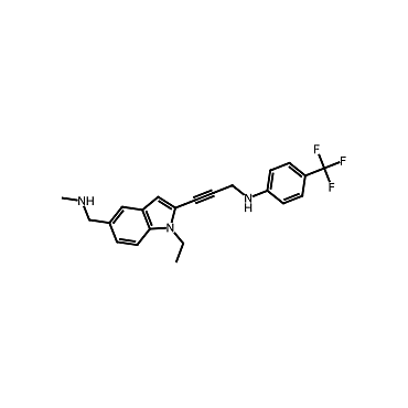 CCn1c(C#CCNc2ccc(C(F)(F)F)cc2)cc2cc(CNC)ccc21